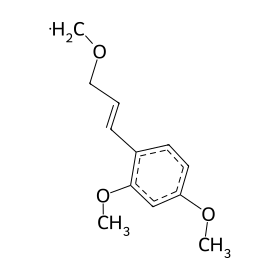 [CH2]OCC=Cc1ccc(OC)cc1OC